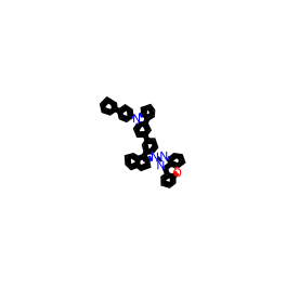 c1ccc(-c2ccc(-n3c4ccccc4c4cc(-c5ccc6c(c5)c5c7ccccc7ccc5n6-c5nc6c7c(cccc7n5)Oc5ccccc5-6)ccc43)cc2)cc1